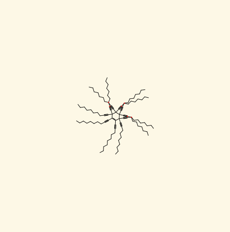 CCCCCCCCC#CC1=C(C#CCCCCCCCC)C(C#CCCCCCCCC)(C#CCCCCCCCC)C(C#CCCCCCCCC)(C#CCCCCCCCC)C(C#CCCCCCCCC)(C#CCCCCCCCC)C1(C#CCCCCCCCC)C#CCCCCCCCC